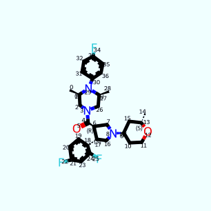 C[C@@H]1CN(C(=O)[C@H]2CN([C@@H]3CCO[C@@H](C)C3)C[C@@H]2c2ccc(F)cc2F)C[C@H](C)N1c1ccc(F)cc1